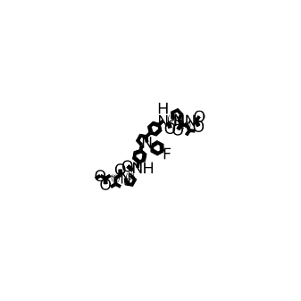 COC(=O)C[C@H](C(=O)N1CCC[C@H]1C(=O)Nc1ccc(C2CCC(c3ccc(NC(=O)[C@@H]4CCCN4C(=O)[C@@H](NC(=O)OC)C(C)C)cc3)N2c2ccc(F)cc2)cc1)C(C)C